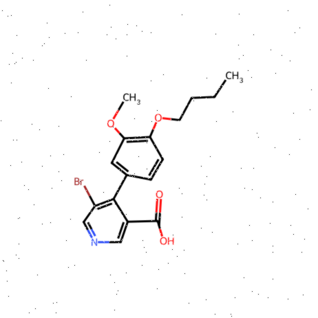 CCCCOc1ccc(-c2c(Br)cncc2C(=O)O)cc1OC